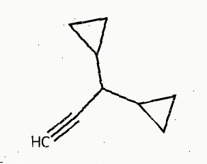 C#CC(C1CC1)C1CC1